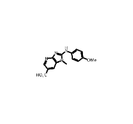 COc1ccc(Nc2nc3ncc(C(=O)O)cc3n2C)cc1